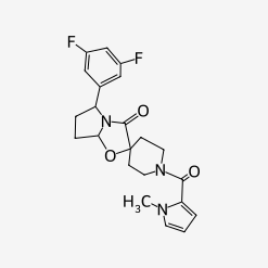 Cn1cccc1C(=O)N1CCC2(CC1)OC1CCC(c3cc(F)cc(F)c3)N1C2=O